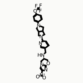 O=[N+]([O-])c1cn2c(n1)OC[C@@H](NCc1ccc(N3CC4CN(c5ccc(OC(F)(F)F)cc5)CC4C3)nc1)C2